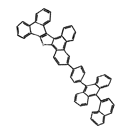 c1ccc2c(-c3c4ccccc4c(-c4ccc(-c5ccc6c(c5)c5ccccc5c5c6sc6c7ccccc7c7ccccc7c65)cc4)c4ccccc34)cccc2c1